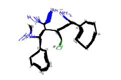 CN/C(=C(C(=N)N)/C(Cl)=C(\N)c1ccccc1)c1ccccc1